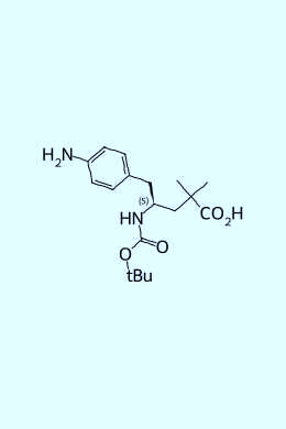 CC(C)(C)OC(=O)N[C@@H](Cc1ccc(N)cc1)CC(C)(C)C(=O)O